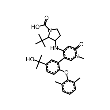 Cc1cccc(C)c1Oc1ccc(C(C)(C)O)cc1-c1cn(C)c(=O)cc1NC1CCN(C(=O)O)C1C(C)(C)C